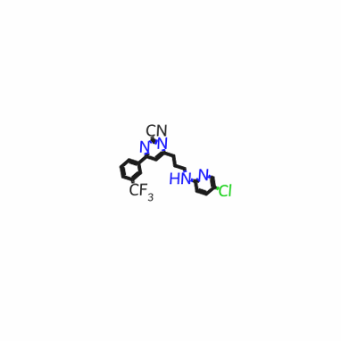 N#Cc1nc(CCCNc2ccc(Cl)cn2)cc(-c2cccc(C(F)(F)F)c2)n1